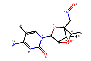 Cc1cn(C2OC3(CN=O)C(C)OC2[C@H]3O)c(=O)nc1N